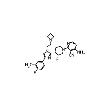 Cc1cc(-c2cn(CCN3CCC3)c([C@@H]3CCN(c4ncnc(N)c4C#N)C[C@@H]3F)n2)ccc1F